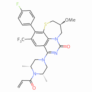 C=CC(=O)N1[C@H](C)CN(c2nc(=O)n3c4c(c(-c5ccc(F)cc5)c(C(F)(F)F)cc24)SC[C@@H](OC)C3)C[C@@H]1C